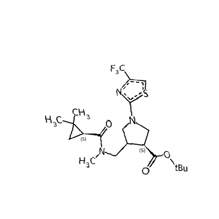 CN(CC1CN(c2nc(C(F)(F)F)cs2)C[C@H]1C(=O)OC(C)(C)C)C(=O)[C@H]1CC1(C)C